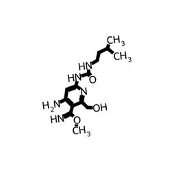 COC(=N)c1c(N)cc(NC(=O)NCCC(C)C)nc1CO